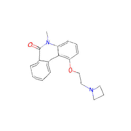 Cn1c(=O)c2ccccc2c2c(OCCN3CCC3)cccc21